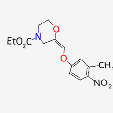 CCOC(=O)N1CCOC(=COc2ccc([N+](=O)[O-])c(C)c2)C1